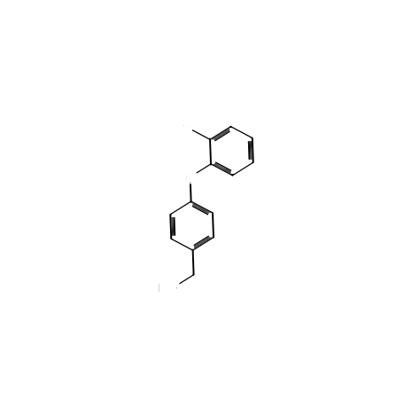 OCc1ccc(Oc2ccccc2Br)cc1